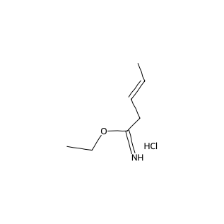 C/C=C/CC(=N)OCC.Cl